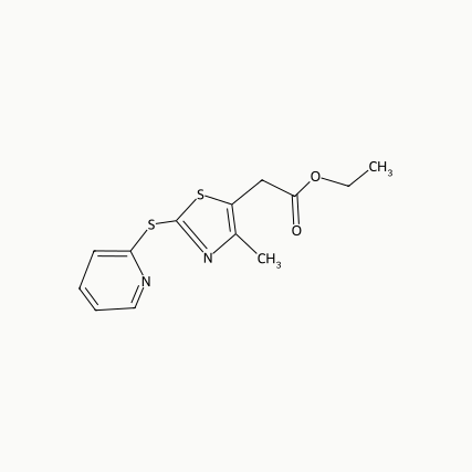 CCOC(=O)Cc1sc(Sc2ccccn2)nc1C